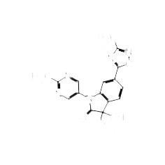 Cc1ncc(N2C(=O)C(C)(C)c3ccc(-c4nc(C)no4)cc32)cn1